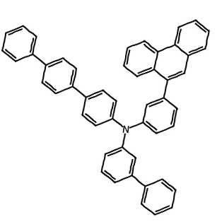 c1ccc(-c2ccc(-c3ccc(N(c4cccc(-c5ccccc5)c4)c4cccc(-c5cc6ccccc6c6ccccc56)c4)cc3)cc2)cc1